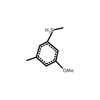 COc1cc(C)cc([SiH2]C)c1